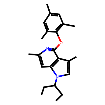 CCC(CC)n1cc(C)c2c(Oc3c(C)cc(C)cc3C)nc(C)cc21